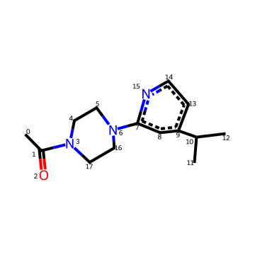 CC(=O)N1CCN(c2cc(C(C)C)ccn2)CC1